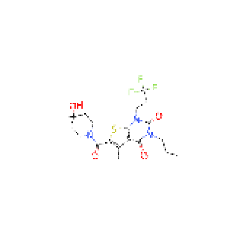 CCCn1c(=O)c2c(C)c(C(=O)N3CCC(C)(O)CC3)sc2n(CCC(F)(F)F)c1=O